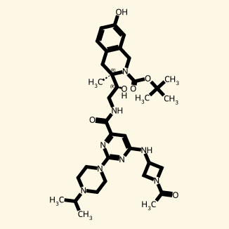 CC(=O)N1CC(Nc2cc(C(=O)NC[C@@H](O)[C@@]3(C)Cc4ccc(O)cc4CN3C(=O)OC(C)(C)C)nc(N3CCN(C(C)C)CC3)n2)C1